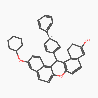 OC1=Cc2ccc3c(c2CC1)C(C1=CC[C@H](c2ccccc2)C=C1)c1c(ccc2cc(OC4CCCCC4)ccc12)O3